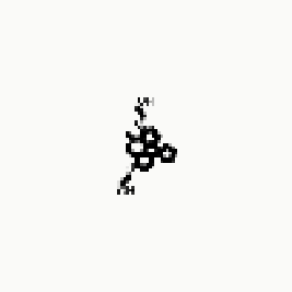 CCc1cc(C2(c3ccc(OCCO)c(CC)c3)CCCC2)ccc1OCCO